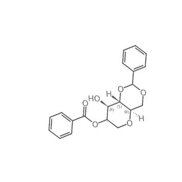 O=C(O[C]1CO[C@@H]2COC(c3ccccc3)O[C@H]2[C@@H]1O)c1ccccc1